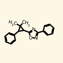 CC1(C)C(c2cc[c]cc2)C1c1nc(-c2ccccc2)no1